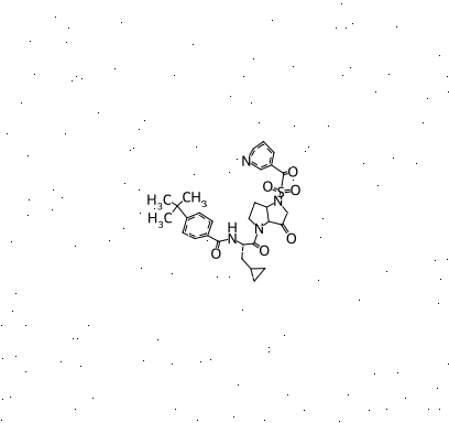 CC(C)(C)c1ccc(C(=O)NC(CC2CC2)C(=O)N2CCC3C2C(=O)CN3S(=O)(=O)C(=O)c2cccnc2)cc1